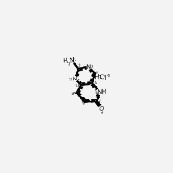 Cl.Nc1ncc2[nH]c(=O)ccc2n1